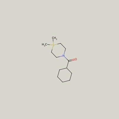 CS1(C)CCN(C(=O)C2CCCCC2)CC1